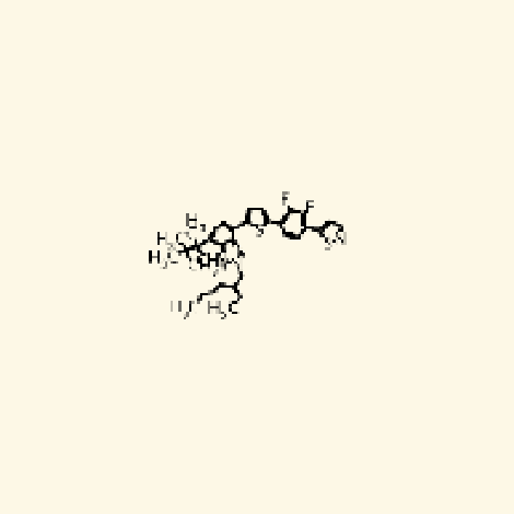 CCCCC(CC)Cn1nc2c(-c3ccc(-c4ccc(-c5ccns5)c(F)c4F)s3)ccc(C(C)(C)C(C)(C)C)c2n1